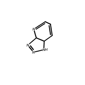 C1=CC2NN=NC2N=C1